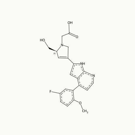 COc1ccc(F)cc1-c1ccnc2[nH]c(C3=C[C@@H](CO)N(CC(=O)O)C3)cc12